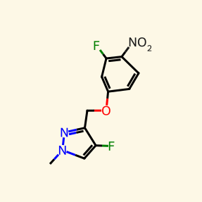 Cn1cc(F)c(COc2ccc([N+](=O)[O-])c(F)c2)n1